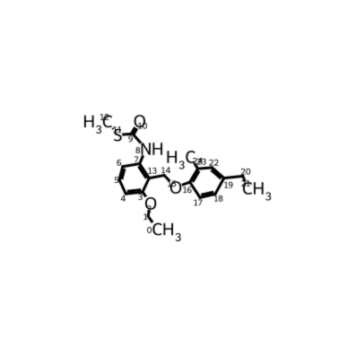 CCOc1cccc(NC(=O)SC)c1COc1ccc(CC)cc1C